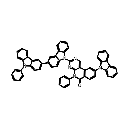 O=c1c2ccc(-n3c4ccccc4c4ccccc43)cc2c2cnc(-n3c4ccccc4c4cc(-c5ccc6c(c5)c5ccccc5n6-c5ccccc5)ccc43)nc2n1-c1ccccc1